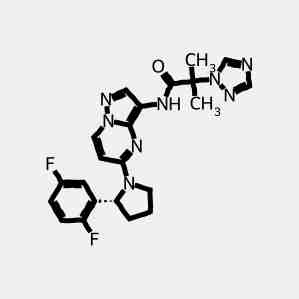 CC(C)(C(=O)Nc1cnn2ccc(N3CCC[C@@H]3c3cc(F)ccc3F)nc12)n1cncn1